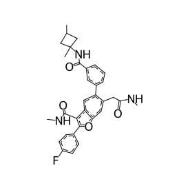 CNC(=O)Cc1cc2oc(-c3ccc(F)cc3)c(C(=O)NC)c2cc1-c1cccc(C(=O)NC2(C)CC(C)C2)c1